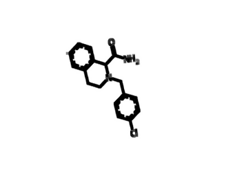 NC(=O)C1c2cc[c]cc2CCN1Cc1ccc(Cl)cc1